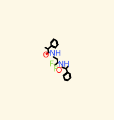 CC(C(=O)NCCC(NC(=O)C(C)c1ccccc1)C(F)F)c1ccccc1